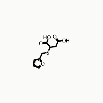 O=C(O)CC(SCc1ccco1)C(=O)O